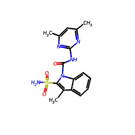 Cc1cc(C)nc(NC(=O)n2c(S(N)(=O)=O)c(C)c3ccccc32)n1